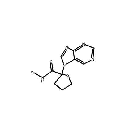 CCNC(=O)C1(n2cnc3ncncc32)CCCS1